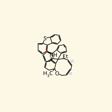 CCC1/C=C\C=C/COC2(C)CC=CC(Nc3cccc4sc5ccccc5c34)=C2C12c1ccccc1-c1ccccc12